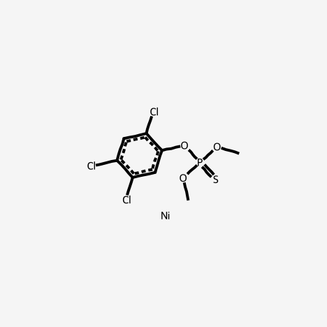 COP(=S)(OC)Oc1cc(Cl)c(Cl)cc1Cl.[Ni]